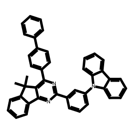 CC1(C)c2ccccc2-c2nc(-c3cccc(-n4c5ccccc5c5ccccc54)c3)nc(-c3ccc(-c4ccccc4)cc3)c21